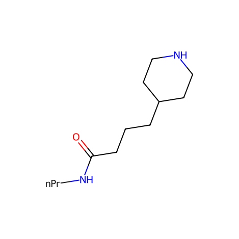 [CH2]CCNC(=O)CCCC1CCNCC1